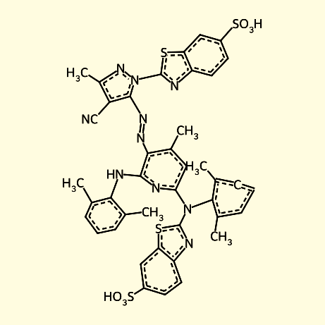 Cc1cc(N(c2nc3ccc(S(=O)(=O)O)cc3s2)c2c(C)cccc2C)nc(Nc2c(C)cccc2C)c1N=Nc1c(C#N)c(C)nn1-c1nc2ccc(S(=O)(=O)O)cc2s1